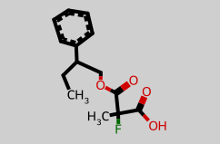 CCC(COC(=O)C(C)(F)C(=O)O)c1ccccc1